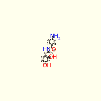 Nc1ccc(C(=O)N[C@H](CO)Cc2ccc(O)cc2)cc1